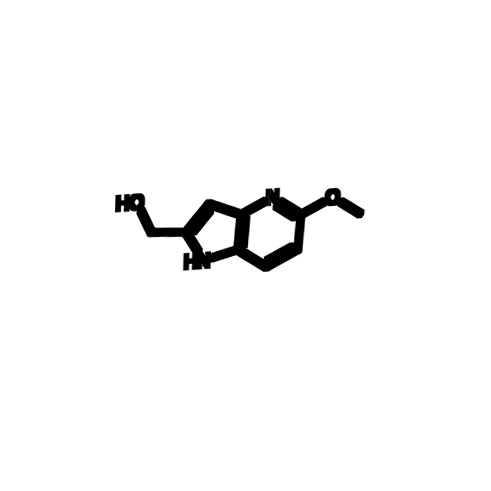 COc1ccc2[nH]c(CO)cc2n1